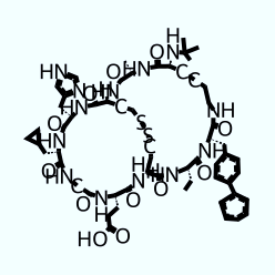 CC[C@@H]1NC(=O)[C@H]2CCSSCC[C@@H](NC(=O)[C@H](C)NC(=O)[C@H](NC(C)(C)C)CCCCNC(=O)[C@H](Cc3ccc(-c4ccccc4)cc3)NC1=O)C(=O)N[C@@H](Cc1c[nH]cn1)C(=O)N[C@@H](CC1CC1)C(=O)NCC(=O)N[C@@H](CCC(=O)O)C(=O)N2